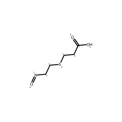 O=NCCSCCC(=O)O